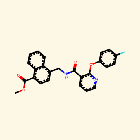 COC(=O)c1ccc(CNC(=O)c2cccnc2Oc2ccc(F)cc2)c2ccccc12